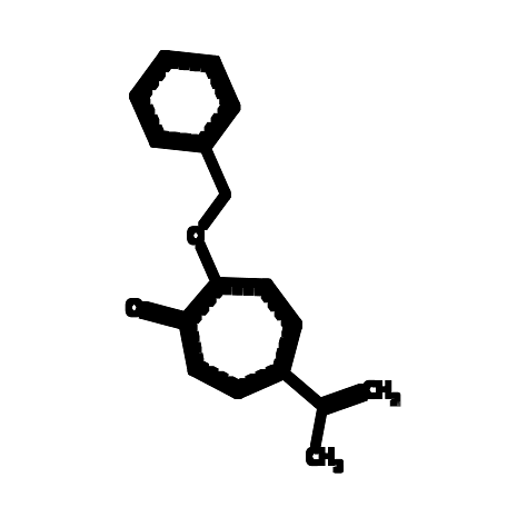 C=C(C)c1ccc(OCc2ccccc2)c(=O)cc1